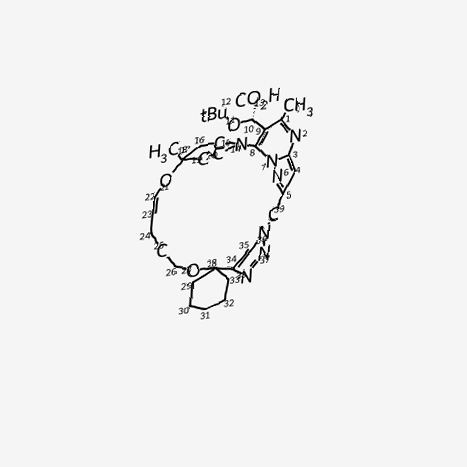 Cc1nc2cc3nn2c(c1[C@H](OC(C)(C)C)C(=O)O)N1CCC(C)(CC1)O/C=C\CCCOC1(CCCCC1)c1cn(nn1)C3